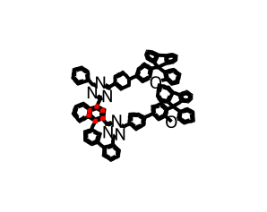 C1=CC(c2ccc3c(c2)Oc2ccccc2C32c3ccccc3-c3ccccc32)CC=C1c1nc(-c2ccccc2)nc(-c2ccc(-c3cccc(-c4ccccc4-c4nc(-c5ccc(-c6ccc7c(c6)Oc6ccccc6C76c7ccccc7-c7ccccc76)cc5)nc(-c5ccc6ccccc6c5)n4)c3)cc2)n1